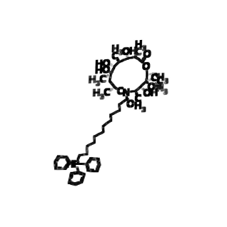 CC[C@H]1OC(=O)[C@H](C)[C@@H](O)[C@H](C)[C@@H](O)[C@](C)(O)C[C@@H](C)CN(C(=O)CCCCCCCCCCC[PH](c2ccccc2)(c2ccccc2)c2ccccc2)[C@H](C)[C@@H](O)[C@]1(C)O